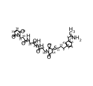 CC(N)Cc1cccc(CCCSC2CC(=O)N(CCC(=O)NCC(O)CNC(=O)CCN3C(=O)C=CC3=O)C2=O)c1